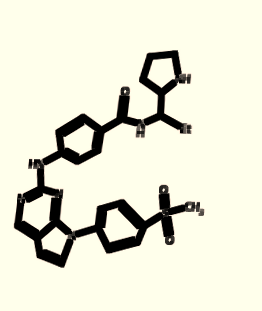 CCC(NC(=O)c1ccc(Nc2ncc3ccn(-c4ccc(S(C)(=O)=O)cc4)c3n2)cc1)C1CCCN1